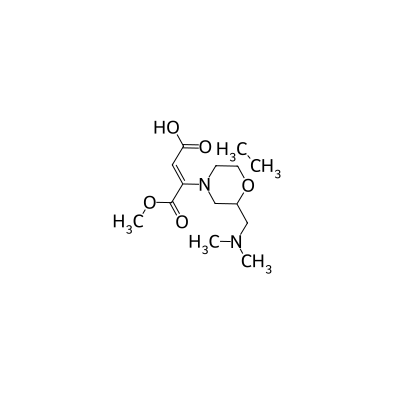 CC.COC(=O)/C(=C/C(=O)O)N1CCOC(CN(C)C)C1